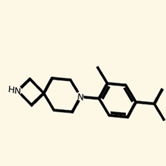 Cc1cc(C(C)C)ccc1N1CCC2(CC1)CNC2